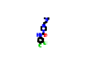 CN(C)CCN1CCN(C(=O)Nc2ccc(Cl)c(Cl)c2)CC1